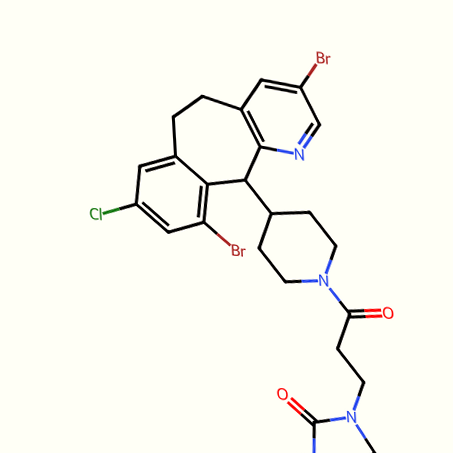 O=C(CCN1CCNC1=O)N1CCC(C2c3ncc(Br)cc3CCc3cc(Cl)cc(Br)c32)CC1